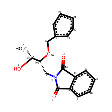 O=C(O)[C@@H](O)[C@@H](CN1C(=O)c2ccccc2C1=O)OCc1ccccc1